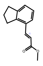 COC(=O)/C=C/c1cccc2c1CCC2